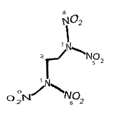 O=[N+]([O-])N(CN([N+](=O)[O-])[N+](=O)[O-])[N+](=O)[O-]